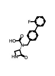 O=C1NC[C@@H]1N(Cc1ccc(-c2ccccc2F)cc1)C(=O)O